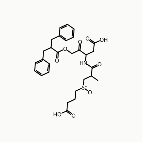 CC(C[S+]([O-])CCCC(=O)O)C(=O)NC(CC(=O)O)C(=O)COC(=O)C(Cc1ccccc1)Cc1ccccc1